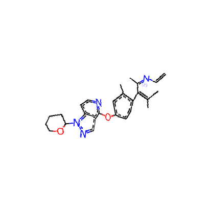 C=C/N=C(/C)C(=C(C)C)c1ccc(Oc2nccc3c2cnn3C2CCCCO2)cc1C